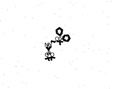 CC1(C)OB(c2cnn(CCO[Si](c3ccccc3)(c3ccccc3)C(C)(C)C)c2)OC1(C)C